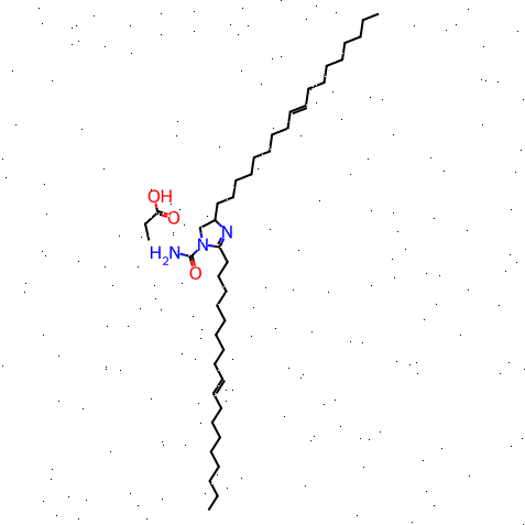 CCC(=O)O.CCCCCCCCC=CCCCCCCCCC1=NC(CCCCCCCCC=CCCCCCCCC)CN1C(N)=O